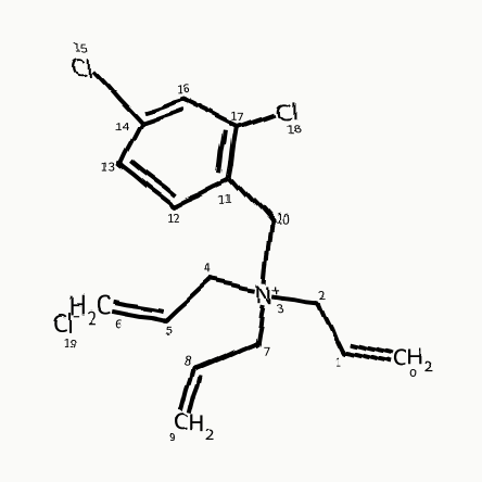 C=CC[N+](CC=C)(CC=C)Cc1ccc(Cl)cc1Cl.[Cl-]